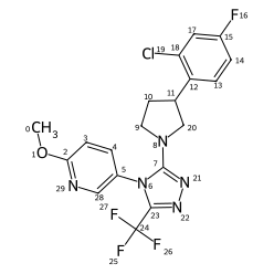 COc1ccc(-n2c(N3CCC(c4ccc(F)cc4Cl)C3)nnc2C(F)(F)F)cn1